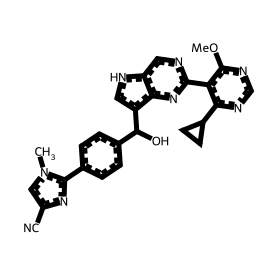 COc1ncnc(C2CC2)c1-c1ncc2[nH]cc(C(O)c3ccc(-c4nc(C#N)cn4C)cc3)c2n1